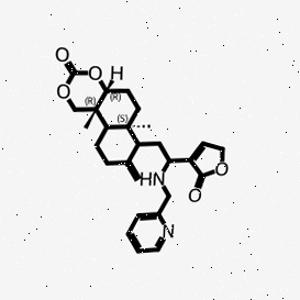 C=C1CCC2[C@@](C)(CC[C@H]3OC(=O)OC[C@@]23C)C1CC(NCc1ccccn1)C1=CCOC1=O